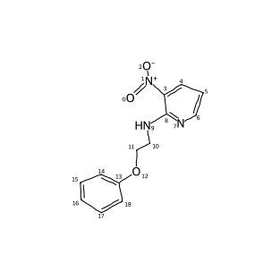 O=[N+]([O-])c1cccnc1NCCOc1ccccc1